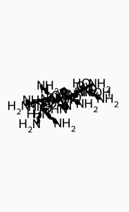 N=C(N)NCC/C=C(/NC(=O)[C@H](CCCCN)NC(=O)[C@H](Cc1cnc[nH]1)NC(=O)[C@@H]1CCCN1C(=O)/C(CCCN)=N/C(=O)CNC(=O)[C@@H](NC(=O)C[C@@H](O)CN)[C@@H](O)CN)C(=O)N[C@@H](CCCCN)C(=O)NCCCCN